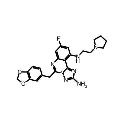 Nc1nc2c3c(NCCN4CCCC4)cc(F)cc3nc(Cc3ccc4c(c3)OCO4)n2n1